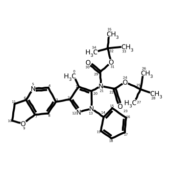 Cc1c(-c2cnc3c(c2)OCC3)nn(-c2ccccc2)c1N(C(=O)OC(C)(C)C)C(=O)OC(C)(C)C